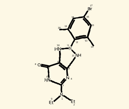 CCN(CC)c1nc2c(c(=O)[nH]1)NN(c1c(C)cc(Br)cc1C)N2